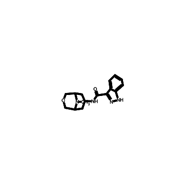 CN1C2COCC1CC(NC(=O)c1n[nH]c3ccccc13)C2